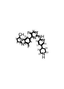 CC1CCc2nc3c(F)cc(-c4nc(Nc5ccc(C6CCNCC6)cn5)ncc4F)cc3n21